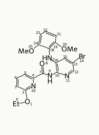 CCOc1cccc(C(=O)Nc2ncc(Br)cc2Nc2c(OC)cccc2OC)n1